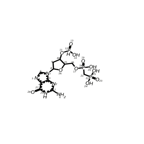 Nc1nc2c(ncn2C2CC(O[PH](=O)O)C(COP(=O)(O)CP(=O)(O)O)O2)c(=O)[nH]1